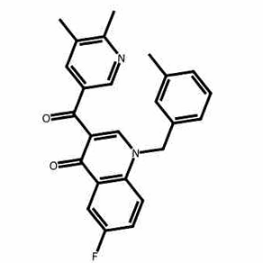 Cc1cccc(Cn2cc(C(=O)c3cnc(C)c(C)c3)c(=O)c3cc(F)ccc32)c1